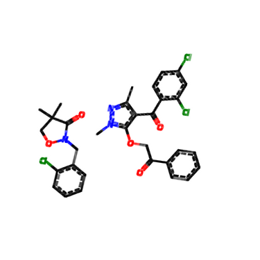 CC1(C)CON(Cc2ccccc2Cl)C1=O.Cc1nn(C)c(OCC(=O)c2ccccc2)c1C(=O)c1ccc(Cl)cc1Cl